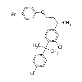 CC(C)c1ccc(OCCC(C)c2ccc(C(C)(C)c3ccc(Cl)cc3)c(Cl)c2)cc1